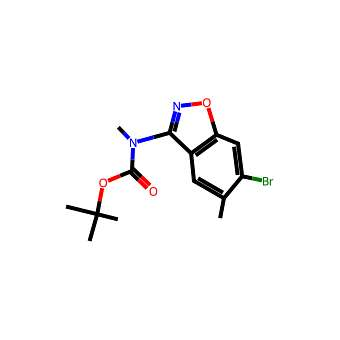 Cc1cc2c(N(C)C(=O)OC(C)(C)C)noc2cc1Br